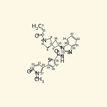 C=CC(=O)N1CC[C@]2(C1)C[C@H](n1c(NC(=O)c3ccc(-c4ccc(=O)n(C)c4)s3)nc3ccccc31)C2